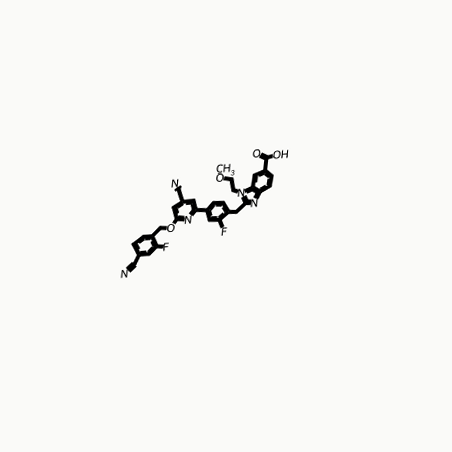 COCCn1c(Cc2ccc(-c3cc(C#N)cc(OCc4ccc(C#N)cc4F)n3)cc2F)nc2ccc(C(=O)O)cc21